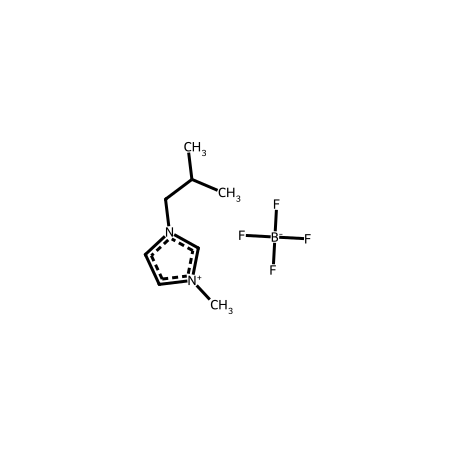 CC(C)Cn1cc[n+](C)c1.F[B-](F)(F)F